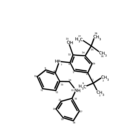 CC(C)(C)c1cc(Pc2ccccc2CNc2ccccc2)c(O)c(C(C)(C)C)c1